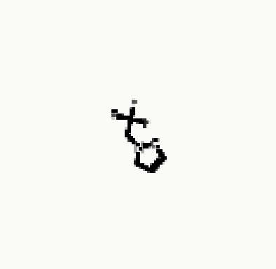 FC(F)(F)CN1CC=CO1